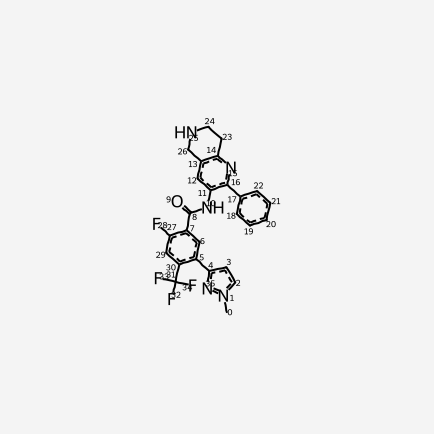 Cn1ccc(-c2cc(C(=O)Nc3cc4c(nc3-c3ccccc3)CCNC4)c(F)cc2C(F)(F)F)n1